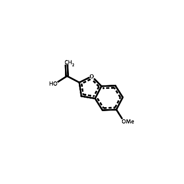 C=C(O)c1cc2cc(OC)ccc2o1